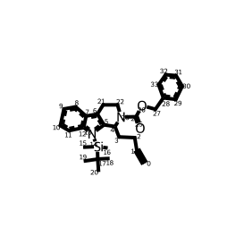 C#CCCC1c2c(c3ccccc3n2[Si](C)(C)C(C)(C)C)CCN1C(=O)OCc1ccccc1